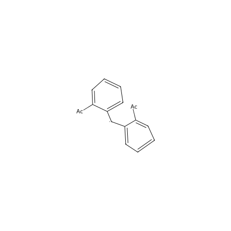 CC(=O)c1ccccc1[CH]c1ccccc1C(C)=O